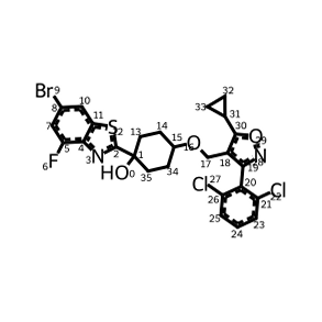 OC1(c2nc3c(F)cc(Br)cc3s2)CCC(OCc2c(-c3c(Cl)cccc3Cl)noc2C2CC2)CC1